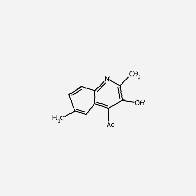 CC(=O)c1c(O)c(C)nc2ccc(C)cc12